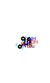 CC(C)(C)[C@@H](c1nc(-c2cc(F)ccc2F)oc1Cc1ccccc1)N1C[C@@H]2C(NC[C@@H]2F)[C@H](O)C1=O